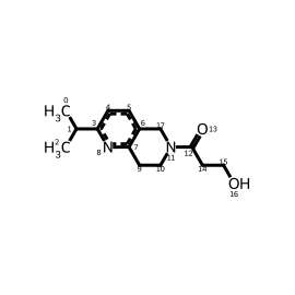 CC(C)c1ccc2c(n1)CCN(C(=O)CCO)C2